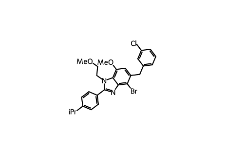 COCCn1c(-c2ccc(C(C)C)cc2)nc2c(Br)c(Cc3cccc(Cl)c3)cc(OC)c21